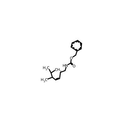 CC(C)C(C)/C=C\CCNC(=O)OCc1ccccc1